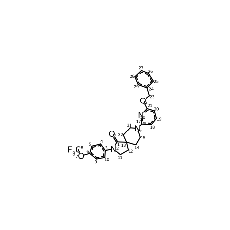 O=C1N(c2ccc(OC(F)(F)F)cc2)CCC12CCN(c1cccc(OCc3ccccc3)n1)CC2